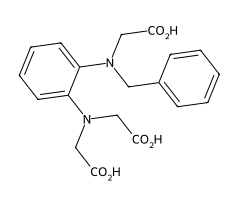 O=C(O)CN(CC(=O)O)c1ccccc1N(CC(=O)O)Cc1ccccc1